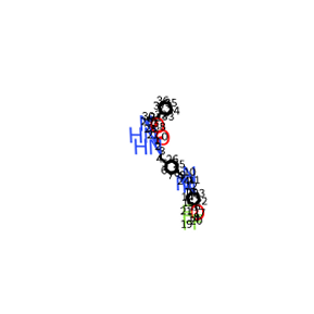 O=C(NCCc1ccc(-c2ncn(-c3ccc(OC(F)(F)F)cc3)n2)cc1)Nc1ncc(-c2ccccc2)o1